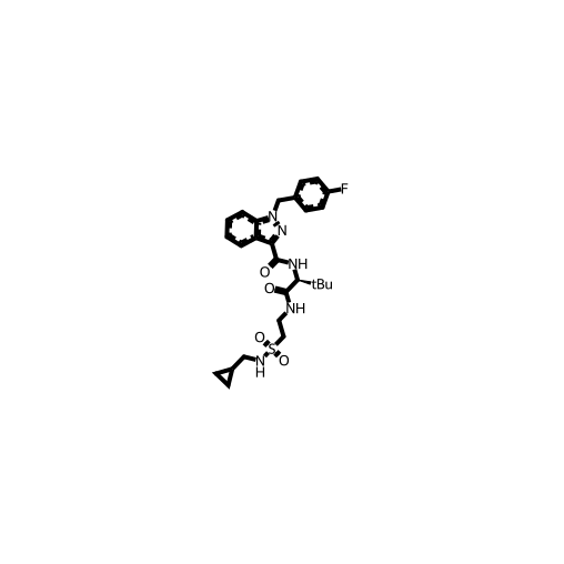 CC(C)(C)[C@H](NC(=O)c1nn(Cc2ccc(F)cc2)c2ccccc12)C(=O)NCCS(=O)(=O)NCC1CC1